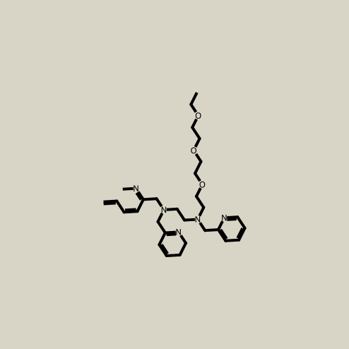 C=C/C=C\C(CN(CCN(CCOCCOCCOCC)Cc1ccccn1)CC1=NCCC=C1)=N/C